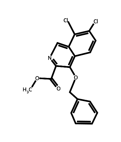 COC(=O)c1ncc2c(Cl)c(Cl)ccc2c1OCc1ccccc1